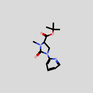 CN1C(=O)N(c2ccccn2)CC1C(=O)OC(C)(C)C